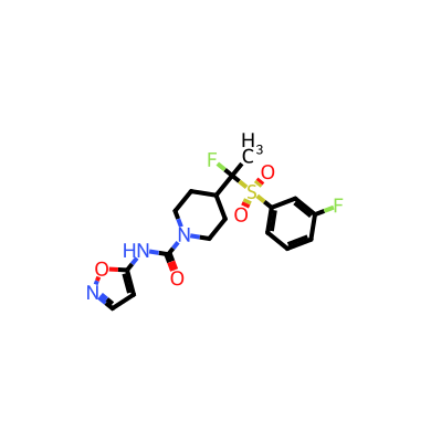 CC(F)(C1CCN(C(=O)Nc2ccno2)CC1)S(=O)(=O)c1cccc(F)c1